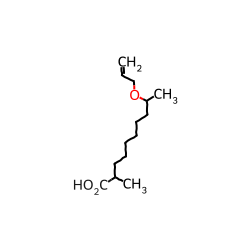 C=CCOC(C)CCCCCCC(C)C(=O)O